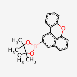 CC1(C)OB(c2cc3c4c(cccc4c2)Oc2ccccc2-3)OC1(C)C